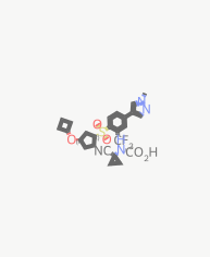 Cn1cc(-c2ccc(S(=O)(=O)[C@@H]3CC[C@@H](OC4CCC4)C3)c(C(F)(F)F)c2)cn1.N#CC1(NC(=O)O)CC1